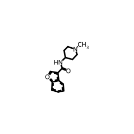 CN1CCC(NC(=O)c2coc3ccccc23)CC1